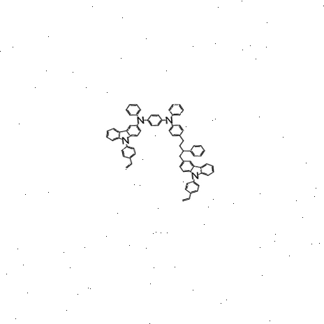 C=Cc1ccc(-n2c3ccccc3c3cc(CC(CCc4ccc(N(c5ccccc5)c5ccc(N(c6ccccc6)c6ccc7c(c6)c6ccccc6n7-c6ccc(C=C)cc6)cc5)cc4)c4ccccc4)ccc32)cc1